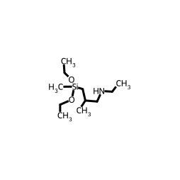 CCNCC(C)C[Si](C)(OCC)OCC